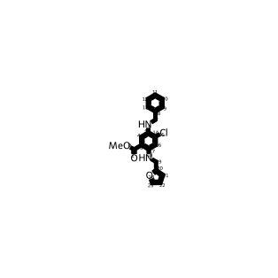 COC(=O)c1cc(NCc2ccccc2)c(Cl)cc1NCc1ccco1